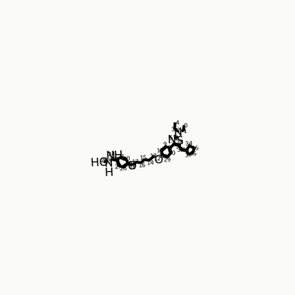 CCN(CC)c1nc(-c2ccc(OCCCCCOc3ccc(C(=N)NO)cc3)cc2)c(CC2CCCC2)s1